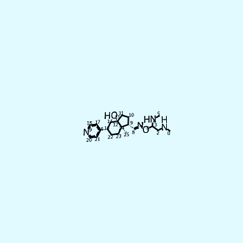 CNCC(NC)ON=C[C@H]1CC[C@]2(O)C[C@@H](c3ccncc3)CC[C@]12C